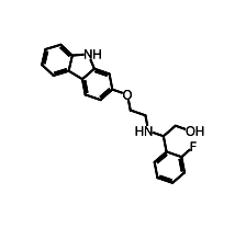 OCC(NCCOc1ccc2c(c1)[nH]c1ccccc12)c1ccccc1F